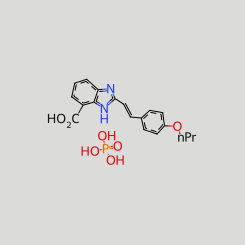 CCCOc1ccc(C=Cc2nc3cccc(C(=O)O)c3[nH]2)cc1.O=P(O)(O)O